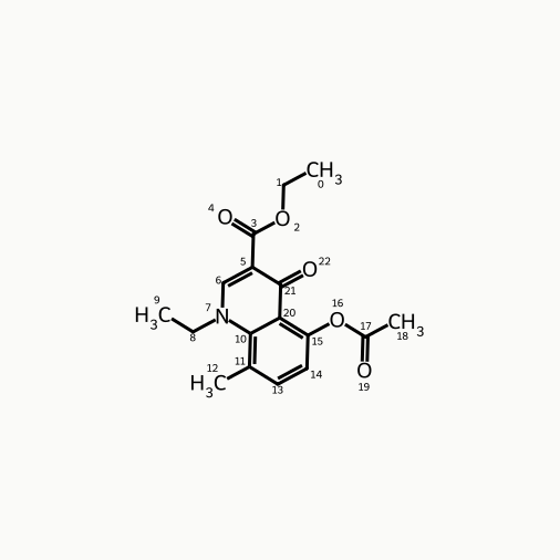 CCOC(=O)c1cn(CC)c2c(C)ccc(OC(C)=O)c2c1=O